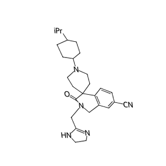 CC(C)C1CCC(N2CCC3(CC2)C(=O)N(CC2=NCCN2)Cc2cc(C#N)ccc23)CC1